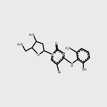 CC(=O)OCC1OC(n2cc(Br)c(Nc3c(O)cccc3[N+](=O)[O-])nc2=O)CC1OC(C)=O